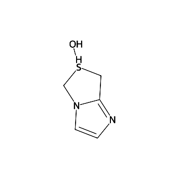 O[SH]1Cc2nccn2C1